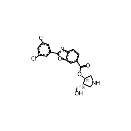 O=C(O[C@H]1CNC[C@@H]1CO)c1ccc2nc(-c3cc(Cl)cc(Cl)c3)oc2c1